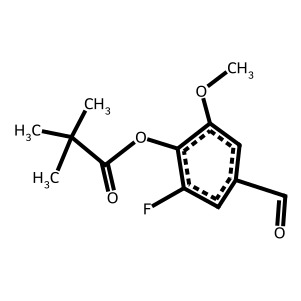 COc1cc(C=O)cc(F)c1OC(=O)C(C)(C)C